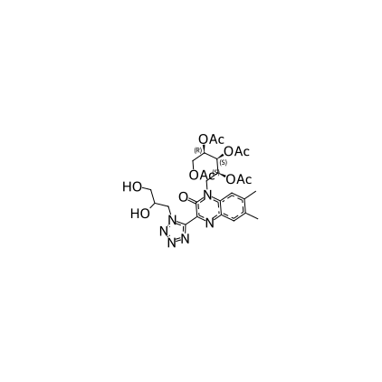 CC(=O)OC[C@@H](OC(C)=O)[C@@H](OC(C)=O)[C@H](Cn1c(=O)c(-c2nnnn2CC(O)CO)nc2cc(C)c(C)cc21)OC(C)=O